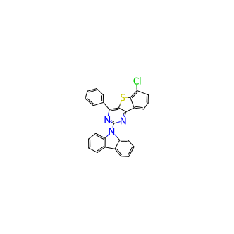 Clc1cccc2c1sc1c(-c3ccccc3)nc(-n3c4ccccc4c4ccccc43)nc12